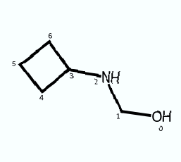 OCNC1CCC1